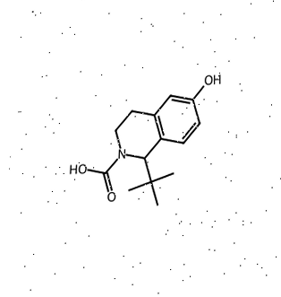 CC(C)(C)C1c2ccc(O)cc2CCN1C(=O)O